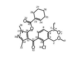 COCc1c([S+](C)[O-])ccc(C(=O)c2c(C)nn(C)c2OC(=O)C2=CCCCC2)c1Cl